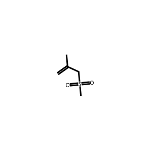 [CH2]S(=O)(=O)CC(=C)C